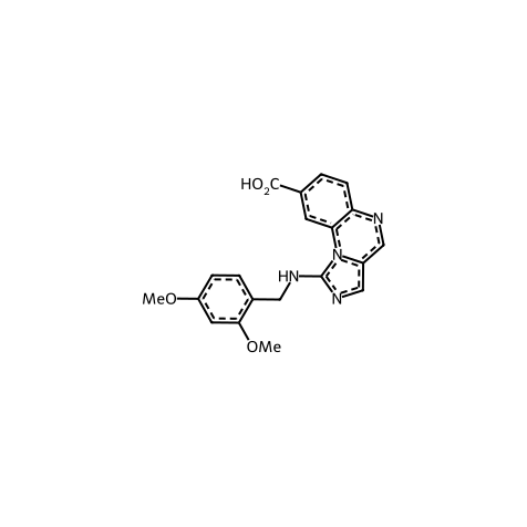 COc1ccc(CNc2ncc3cnc4ccc(C(=O)O)cc4n23)c(OC)c1